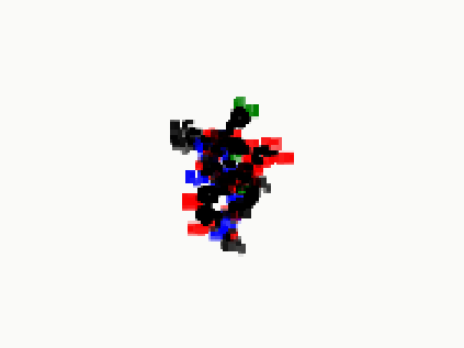 CN[C@H](CC(C)C)C(=O)N[C@H]1C(=O)N[C@@H](CC(N)=O)C(=O)N[C@H]2C(=O)N[C@H]3C(=O)N[C@H](C(=O)N[C@@H](C(=O)NNC(C)=O)c4cc(O)cc(O)c4-c4cc3ccc4O)[C@H](O)c3ccc(c(Cl)c3)Oc3cc2cc(c3O[C@@H]2O[C@H](CO)[C@@H](O)[C@H](O)[C@H]2O[C@H]2C[C@](C)(NCCn3ccc(NC(=O)Cc4ccc(Cl)c(Cl)c4)nc3=O)[C@H](O)[C@H](C)O2)Oc2ccc(cc2Cl)[C@H]1O